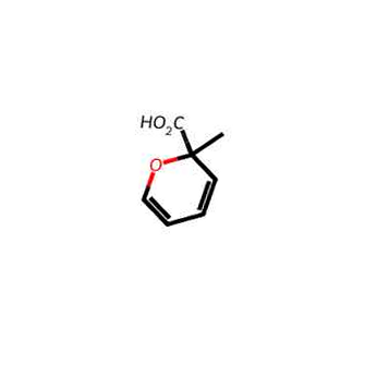 CC1(C(=O)O)C=CC=CO1